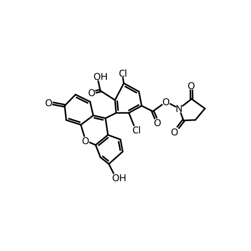 O=C(ON1C(=O)CCC1=O)c1cc(Cl)c(C(=O)O)c(-c2c3ccc(=O)cc-3oc3cc(O)ccc23)c1Cl